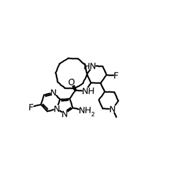 CN1CCC(C2C(F)CNC3(CCCCCCCCC3)C2NC(=O)c2c(N)nn3cc(F)cnc23)CC1